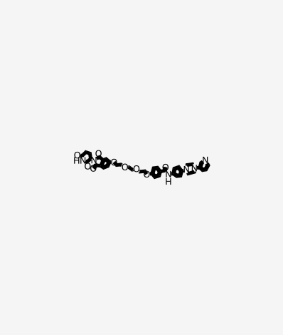 O=C1CCC(N2C(=O)c3ccc(OCCOCCOCCOc4ccc(C(=O)Nc5ccc(N6CCN(c7cccnc7)CC6)cc5)cc4)cc3C2=O)C(=O)N1